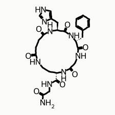 NC(=O)CNC(=O)[C@@H]1CCNC(=O)CCC(=O)N[C@@H](Cc2c[nH]cn2)C(=O)N[C@H](Cc2ccccc2)C(=O)NCC(=O)N1